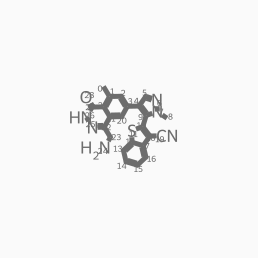 Cc1cc(-c2cnn(C)c2-c2sc3ccccc3c2C#N)cc2c(CN)n[nH]c(=O)c12